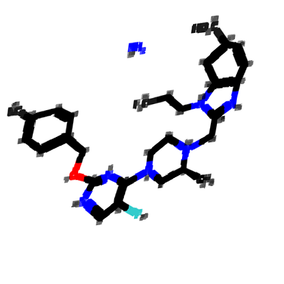 C[C@H]1CN(c2nc(OCc3ccc(C#N)cc3)ncc2F)CCN1Cc1nc2ccc(C(=O)O)cc2n1CCC(F)(F)F.N